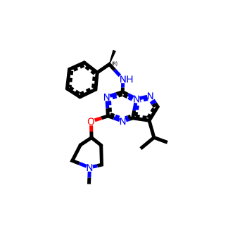 CC(C)c1cnn2c(N[C@H](C)c3ccccc3)nc(OC3CCN(C)CC3)nc12